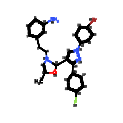 CC1=CN(CCc2cccc(N)c2)C(c2cn(-c3ccc(Br)cc3)nc2-c2ccc(F)cc2)O1